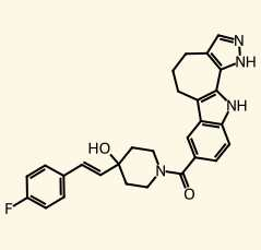 O=C(c1ccc2[nH]c3c(c2c1)CCCc1cn[nH]c1-3)N1CCC(O)(C=Cc2ccc(F)cc2)CC1